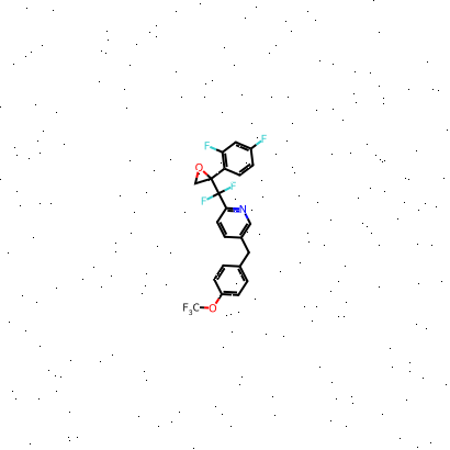 Fc1ccc(C2(C(F)(F)c3ccc(Cc4ccc(OC(F)(F)F)cc4)cn3)CO2)c(F)c1